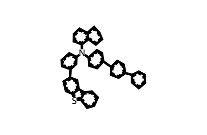 c1ccc(-c2ccc(-c3ccc(N(c4cccc(-c5ccc6sc7ccccc7c6c5)c4)c4cccc5ccccc45)cc3)cc2)cc1